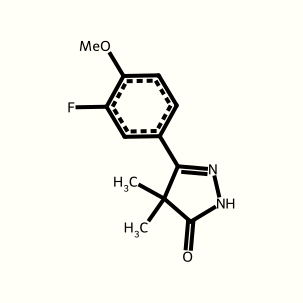 COc1ccc(C2=NNC(=O)C2(C)C)cc1F